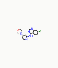 Fc1ccc2c(Nc3cc(N4CCOCC4)ccn3)ncnc2c1